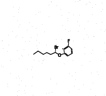 CCCCCC(Br)Oc1[c]c(F)ccc1